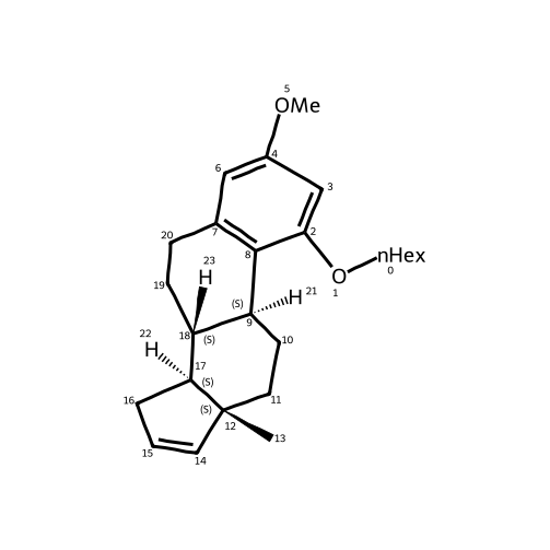 CCCCCCOc1cc(OC)cc2c1[C@H]1CC[C@]3(C)C=CC[C@H]3[C@@H]1CC2